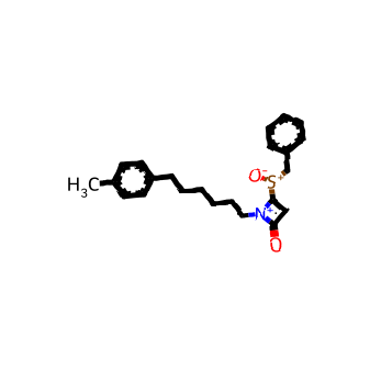 Cc1ccc(CCCCCC[N+]2C(=O)CC2[S+]([O-])Cc2ccccc2)cc1